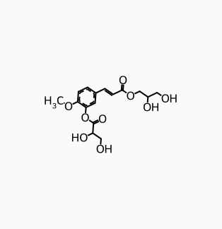 COc1ccc(C=CC(=O)OCC(O)CO)cc1OC(=O)C(O)CO